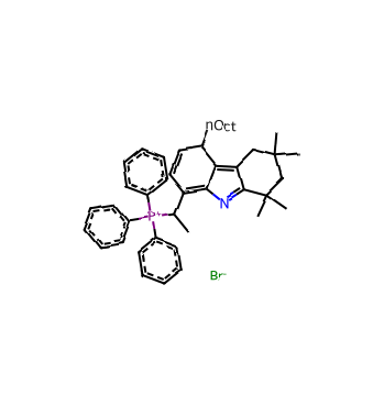 CCCCCCCCC1C=CC(C(C)[P+](c2ccccc2)(c2ccccc2)c2ccccc2)=C2N=C3C(=C21)CC(C)(C)CC3(C)C.[Br-]